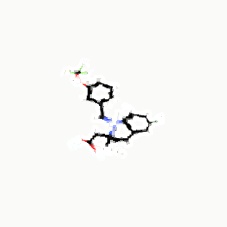 CC1(CC(=O)O)Cc2cc(Cl)ccc2N1Cc1cccc(OC(F)(F)F)c1